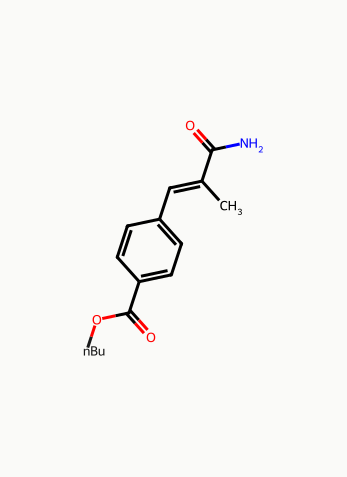 CCCCOC(=O)c1ccc(/C=C(\C)C(N)=O)cc1